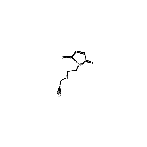 C#CCOCCN1C(=O)C=CC1=O